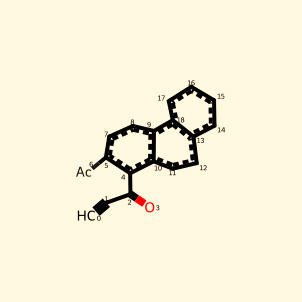 C#CC(=O)c1c(C(C)=O)ccc2c1ccc1ccccc12